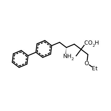 CCOCC(C)(C[C@H](N)Cc1ccc(-c2ccccc2)cc1)C(=O)O